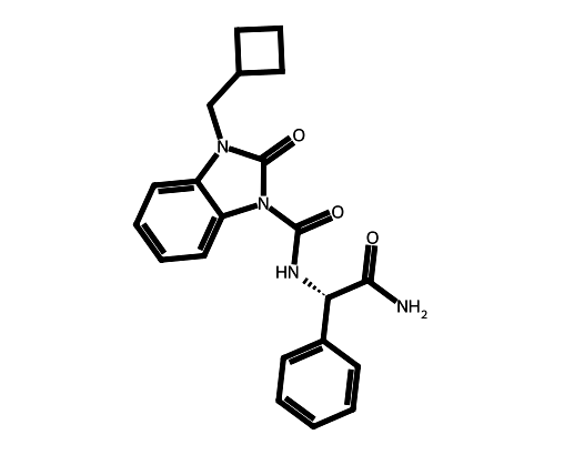 NC(=O)[C@@H](NC(=O)n1c(=O)n(CC2CCC2)c2ccccc21)c1ccccc1